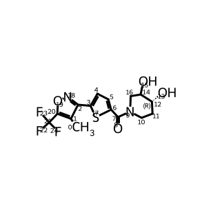 Cc1c(-c2ccc(C(=O)N3CC[C@@H](O)C(O)C3)s2)noc1C(F)(F)F